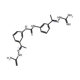 C=C(N)N/N=C(\C)c1cccc(NC(=S)Nc2cccc(/C(C)=N/NC(=N)N)c2)c1